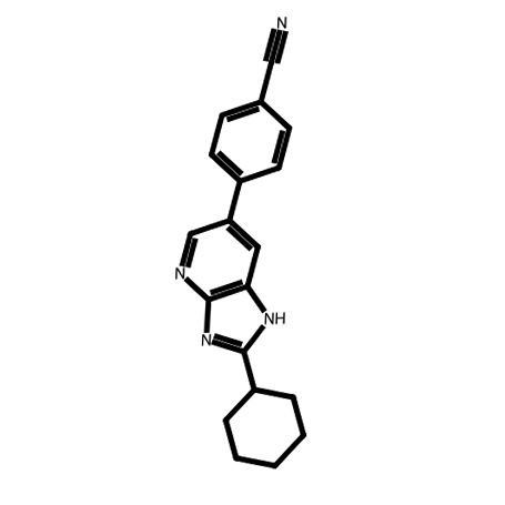 N#Cc1ccc(-c2cnc3nc(C4CCCCC4)[nH]c3c2)cc1